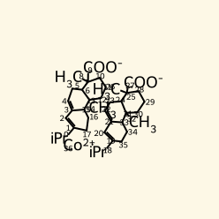 CC(C)C1=CC2=CCC3C(C)(C(=O)[O-])CCCC3(C)C2CC1.CC(C)C1=CC2=CCC3C(C)(C(=O)[O-])CCCC3(C)C2CC1.[Co+2]